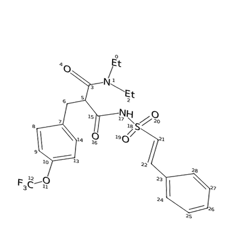 CCN(CC)C(=O)C(Cc1ccc(OC(F)(F)F)cc1)C(=O)NS(=O)(=O)C=Cc1ccccc1